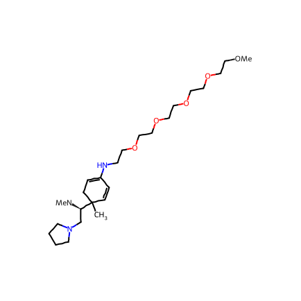 CN[C@H](CN1CCCC1)C1(C)C=CC(NCCOCCOCCOCCOCCOC)=CC1